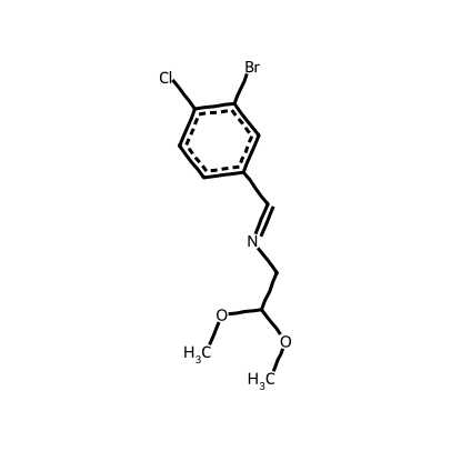 COC(CN=Cc1ccc(Cl)c(Br)c1)OC